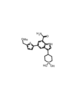 COCc1ccc(-c2cc(C(N)=O)c3[nH]cc(C4CCS(O)(O)CC4)c3c2)s1